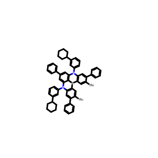 CC(C)(C)c1cc2c(cc1-c1ccccc1)N(c1cccc(C3CCCCC3)c1)c1cc(-c3ccccc3)cc3c1B2c1cc(C(C)(C)C)c(-c2ccccc2)cc1N3c1cccc(C2CCCCC2)c1